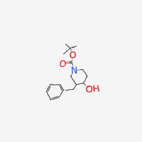 CC(C)(C)OC(=O)N1CCC(O)C(Cc2ccccc2)C1